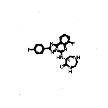 O=C1NCCNC[C@H]1Nc1nc2c(F)cccc2c2nc(-c3ccc(F)cc3)nn12